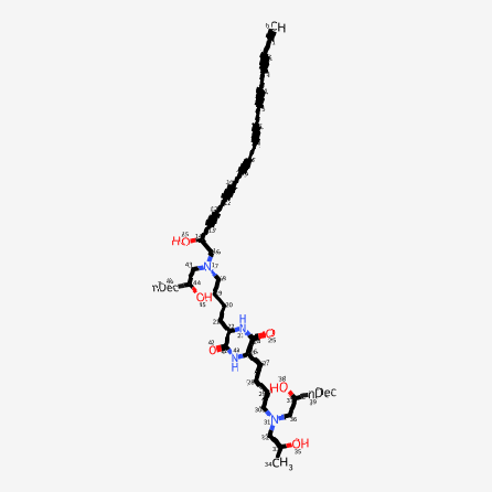 C#CC#CC#CC#CC#CC#CC#CC(O)CN(CCCCC1NC(=O)C(CCCCN(CC(C)O)CC(O)CCCCCCCCCC)NC1=O)CC(O)CCCCCCCCCC